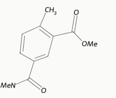 CNC(=O)c1ccc(C)c(C(=O)OC)c1